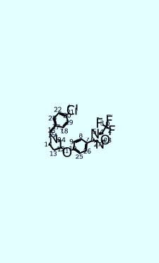 FC(F)(F)c1nc(-c2ccc(OC3CCN(Cc4ccc(Cl)cc4)C3)cc2)no1